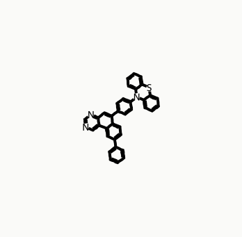 c1ccc(-c2ccc3c(-c4ccc(N5c6ccccc6Sc6ccccc65)cc4)cc4ncncc4c3c2)cc1